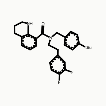 CC(C)(C)c1ccc(CN(CCc2ccc(F)c(F)c2)C(=O)c2cccc3c2NCCC3)cc1